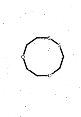 C1COCCSSCCO1